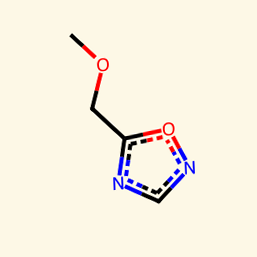 COCc1ncno1